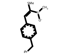 CSC(=Cc1ccc(CC(C)C)cc1)[S+](C)[O-]